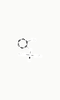 COP(=O)(Oc1ccccc1C#N)SC